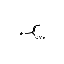 CC=C(CCC)OC